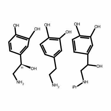 CC(C)NCC(O)c1ccc(O)c(O)c1.NCCc1ccc(O)c(O)c1.NC[C@H](O)c1ccc(O)c(O)c1